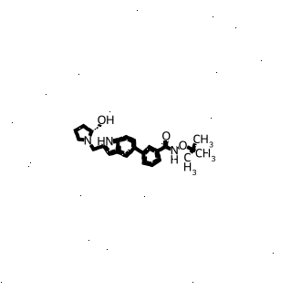 CC(C)(C)ONC(=O)c1cccc(-c2ccc3[nH]c(CN4CCC[C@@H]4CO)cc3c2)c1